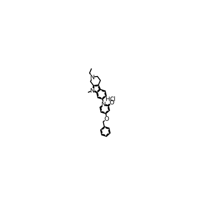 CCN1CCc2c(n(C)c3cc(-n4ccc(OCc5ccccc5)cc4=O)ccc23)C1.Cl